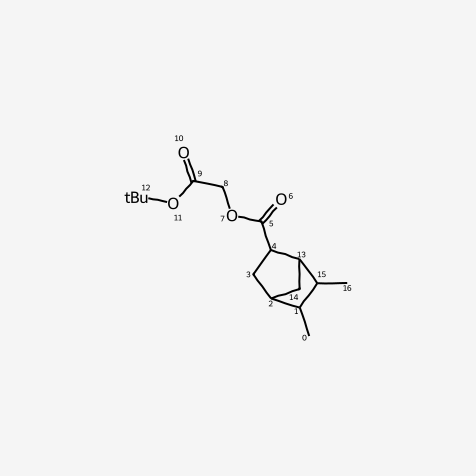 CC1C2CC(C(=O)OCC(=O)OC(C)(C)C)C(C2)C1C